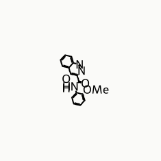 COc1ccccc1NC(=O)c1nnc2ccccc2c1O